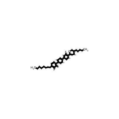 CCCCCCCCc1ccc(-c2ccc(-c3ccc(C4CCC(CCCCC)CO4)c(F)c3)cc2)c(F)c1F